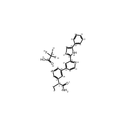 CCN(C(N)=O)c1cncc(-c2ccnc(-c3ncc(-c4ccccc4)[nH]3)c2)c1.O=C(O)C(F)(F)F